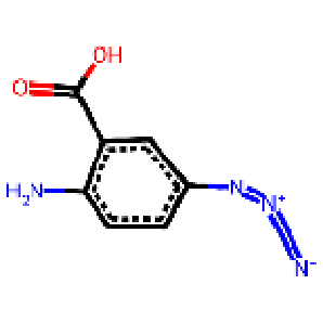 [N-]=[N+]=Nc1ccc(N)c(C(=O)O)c1